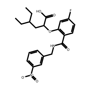 CCC(CC)CC(Oc1cc(F)ccc1C(=O)NCc1cccc([N+](=O)[O-])c1)C(=O)O